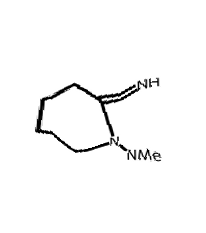 CNN1CCCCC1=N